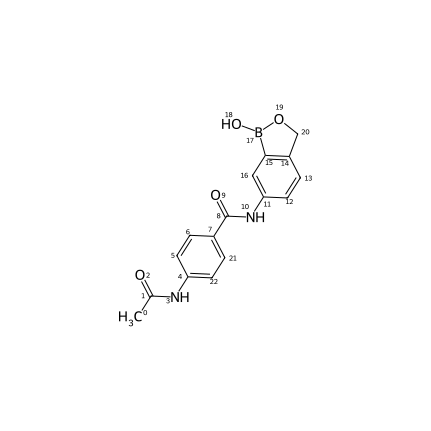 CC(=O)Nc1ccc(C(=O)Nc2ccc3c(c2)B(O)OC3)cc1